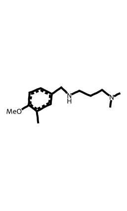 COc1ccc(CNCCCN(C)C)cc1C